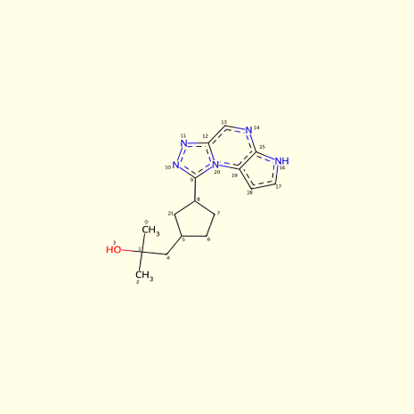 CC(C)(O)CC1CCC(c2nnc3cnc4[nH]ccc4n23)C1